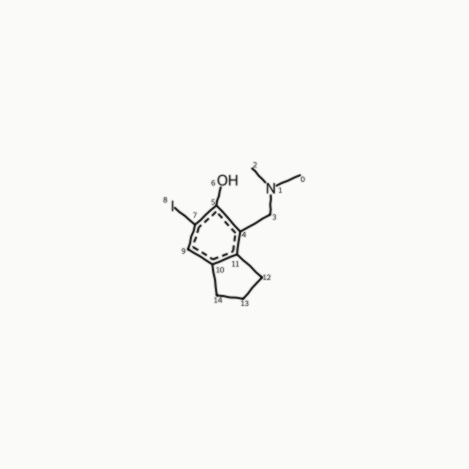 CN(C)Cc1c(O)c(I)cc2c1CCC2